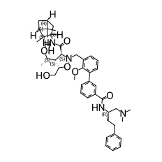 COc1c(CN2OC(CO)[C@H]([C@H](C)O)[C@H]2C(=O)N[C@H]2C[C@H]3C[C@@H]([C@@H]2C)C3(C)C)cccc1-c1cccc(C(=O)N[C@H](CCc2ccccc2)CN(C)C)c1